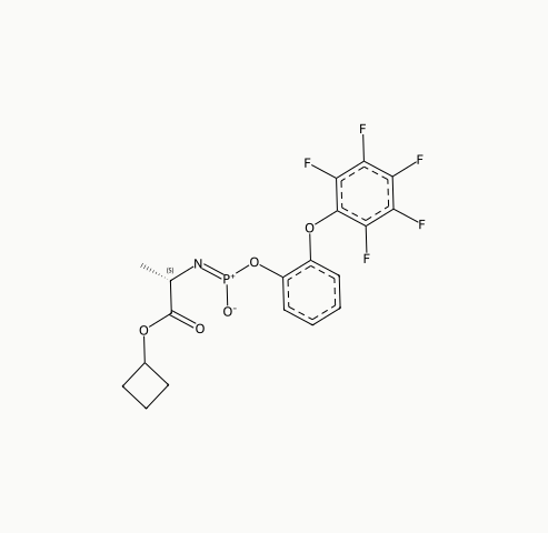 C[C@H](N=[P+]([O-])Oc1ccccc1Oc1c(F)c(F)c(F)c(F)c1F)C(=O)OC1CCC1